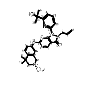 C=CCn1c(=O)c2cnc(Nc3ccc4c(c3)CN(C(=O)O)CC4(C)C)nc2n1-c1cccc(C(C)(C)O)n1